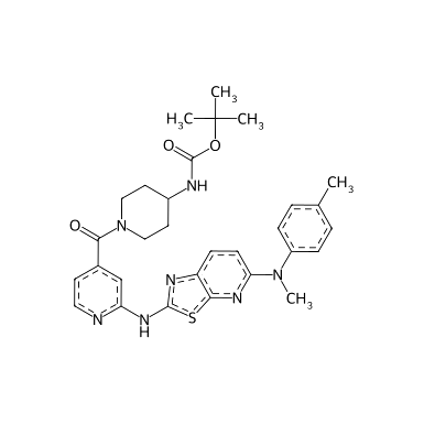 Cc1ccc(N(C)c2ccc3nc(Nc4cc(C(=O)N5CCC(NC(=O)OC(C)(C)C)CC5)ccn4)sc3n2)cc1